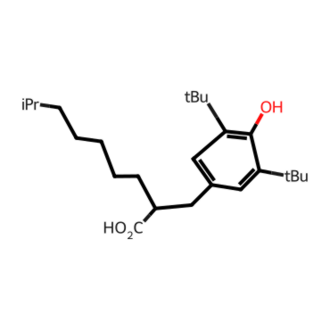 CC(C)CCCCCC(Cc1cc(C(C)(C)C)c(O)c(C(C)(C)C)c1)C(=O)O